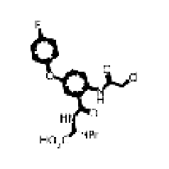 CC(C)[C@@H](NC(=O)c1cc(Oc2ccc(F)cc2)ccc1NC(=O)CCl)C(=O)O